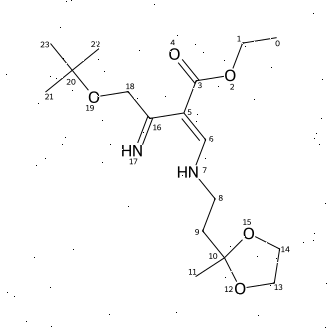 CCOC(=O)/C(=C/NCCC1(C)OCCO1)C(=N)COC(C)(C)C